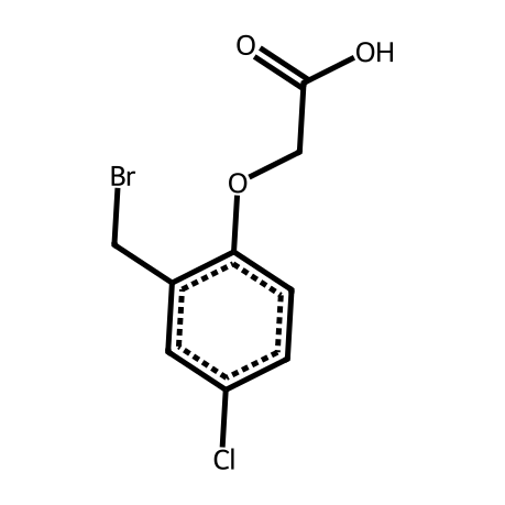 O=C(O)COc1ccc(Cl)cc1CBr